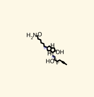 CC#CC[C@@H](C)[C@H](O)/C=C/[C@@H]1[C@H]2C/C(=C/CCCCC(N)=O)C[C@H]2C[C@H]1O